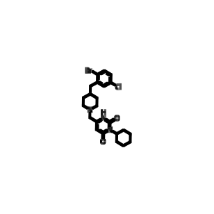 O=c1cc(CN2CCC(Cc3cc(Cl)ccc3Br)CC2)[nH]c(=O)n1C1CCCCC1